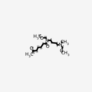 COCN(C)CCCCN(COC)C(=O)CCCCC(C)=O